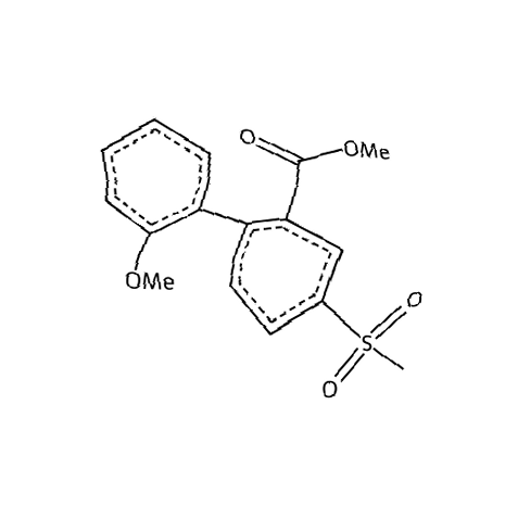 COC(=O)c1cc(S(C)(=O)=O)ccc1-c1ccccc1OC